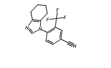 N#Cc1ccc(-n2cnc3c2CCCC3)c(C(F)(F)F)c1